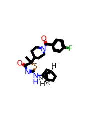 CC1(C2CCN(C(=O)c3ccc(F)cc3)CC2)SC(N[C@H]2C[C@H]3CC[C@H]2C3)=NC1=O